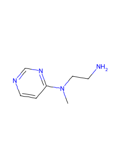 CN(CCN)c1ccncn1